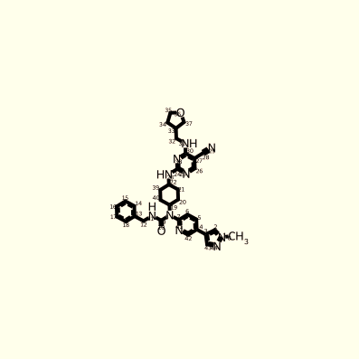 Cn1cc(-c2ccc(N(C(=O)NCc3ccccc3)C3CCC(Nc4ncc(C#N)c(NCC5CCOC5)n4)CC3)nc2)cn1